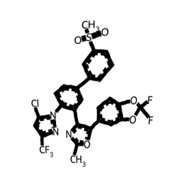 Cc1nc(-c2cc(-c3cccc(S(C)(=O)=O)c3)ccc2-n2nc(C(F)(F)F)cc2Cl)c(-c2ccc3c(c2)OC(F)(F)O3)o1